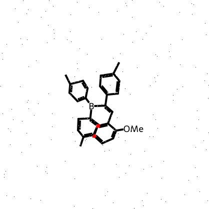 COc1ccccc1/C=C(\B(c1ccc(C)cc1)c1ccc(C)cc1)c1ccc(C)cc1